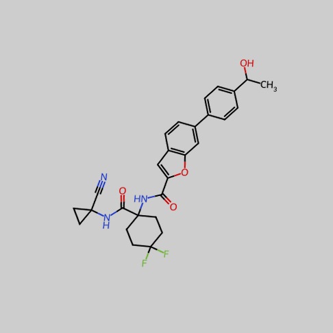 CC(O)c1ccc(-c2ccc3cc(C(=O)NC4(C(=O)NC5(C#N)CC5)CCC(F)(F)CC4)oc3c2)cc1